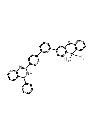 CC1(C)c2ccccc2Sc2cc(-c3cccc(-c4ccc(C5=Nc6ccccc6C(c6ccccc6)N5)cc4)c3)ccc21